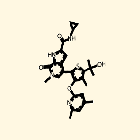 Cc1cc(C)nc(Oc2c(-c3cn(C)c(=O)c4[nH]c(C(=O)NC5CC5)cc34)sc(C(C)(C)O)c2C)c1